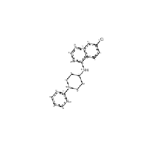 Clc1ccc2c(NC3CCN(c4ccccn4)CC3)ncnc2c1